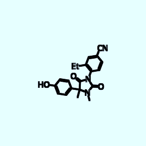 CCc1cc(C#N)ccc1N1C(=O)N(C)C(C)(c2ccc(O)cc2)C1=O